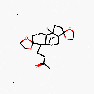 CC[C@]12CCC3C(CCC4(OCCO4)C3CCC(C)=O)[C@@H]1CCC21OCCO1